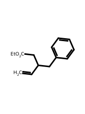 C=CC(CC(=O)OCC)Cc1ccccc1